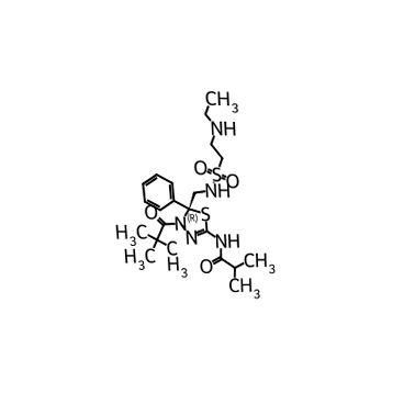 CCNCCS(=O)(=O)NC[C@@]1(c2ccccc2)SC(NC(=O)C(C)C)=NN1C(=O)C(C)(C)C